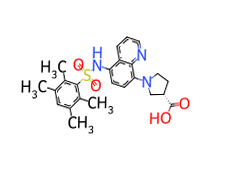 Cc1cc(C)c(C)c(S(=O)(=O)Nc2ccc(N3CC[C@H](C(=O)O)C3)c3ncccc23)c1C